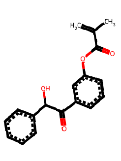 C=C(C)C(=O)Oc1cccc(C(=O)C(O)c2ccccc2)c1